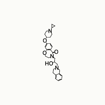 O=C1c2ccc(OC3CCN(C4CC4)CC3)cc2OCCN1CC(O)CN1CCc2ccccc2C1